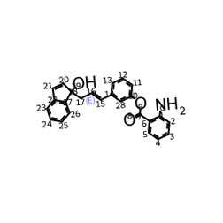 Nc1ccccc1C(=O)Oc1cccc(/C=C/CC2(O)C=Cc3ccccc32)c1